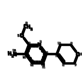 COc1nc(C2=CCOCC2)ncc1N